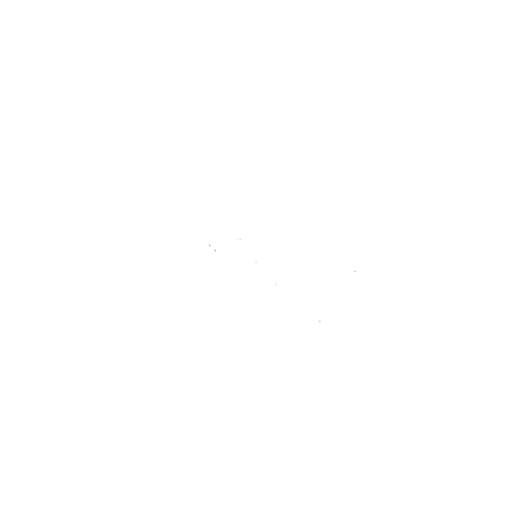 CN1C(=O)CC2(CC3CC2C(C(C)(C)C)C3C(C)(C)C)C1=O